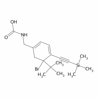 CC(C)(C)C1(Br)CC(CNC(=O)O)=CC=C1C#C[Si](C)(C)C